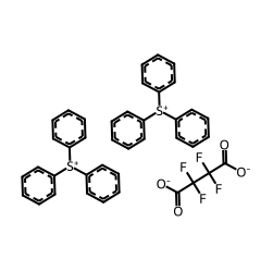 O=C([O-])C(F)(F)C(F)(F)C(=O)[O-].c1ccc([S+](c2ccccc2)c2ccccc2)cc1.c1ccc([S+](c2ccccc2)c2ccccc2)cc1